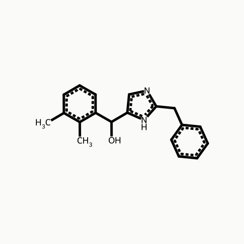 Cc1cccc(C(O)c2cnc(Cc3ccccc3)[nH]2)c1C